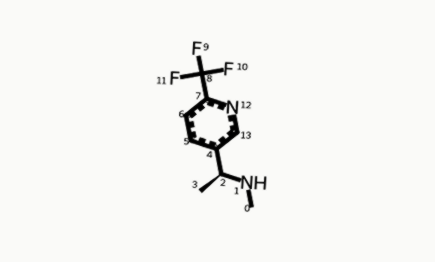 CN[C@@H](C)c1ccc(C(F)(F)F)nc1